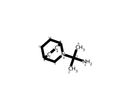 CC(C)(N)N1CC2CCC1CC2